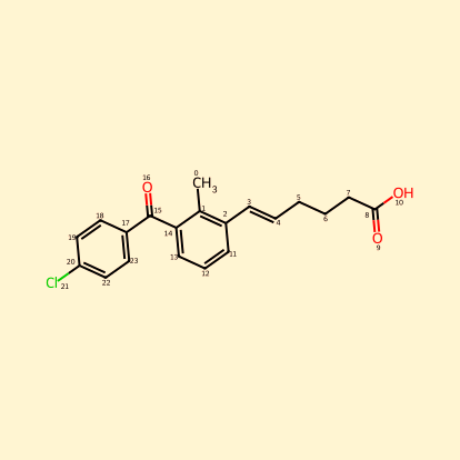 Cc1c(C=CCCCC(=O)O)cccc1C(=O)c1ccc(Cl)cc1